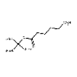 CCCCCCCCC(CCCCCCC)(CCCCCCC)OC(=O)CCCCC(=O)O